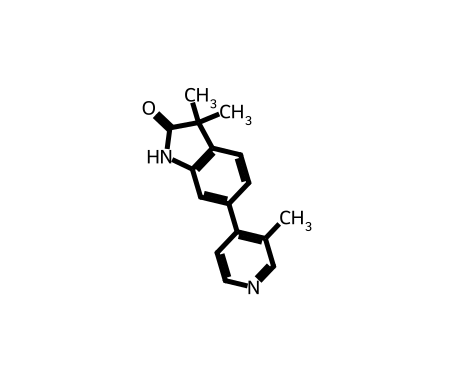 Cc1cnccc1-c1ccc2c(c1)NC(=O)C2(C)C